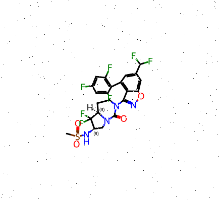 CS(=O)(=O)N[C@@H]1CN2C(=O)N(c3noc4cc(C(F)F)cc(-c5c(F)cc(F)cc5F)c34)CC[C@@H]2C1(F)F